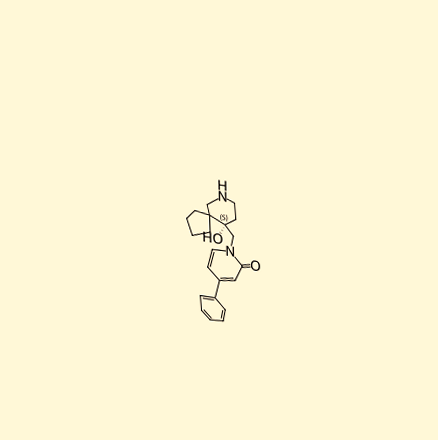 O=c1cc(-c2ccccc2)ccn1C[C@]1(O)CCNCC12CCCC2